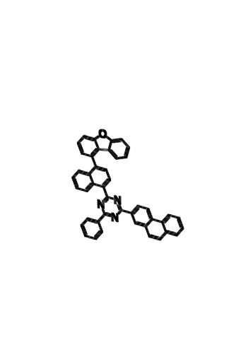 c1ccc(-c2nc(-c3ccc4c(ccc5ccccc54)c3)nc(-c3ccc(-c4cccc5oc6ccccc6c45)c4ccccc34)n2)cc1